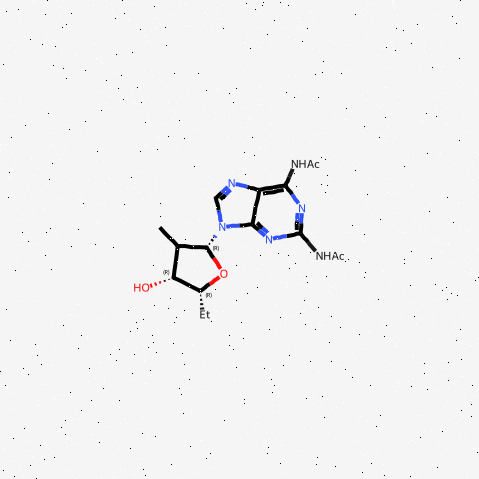 CC[C@H]1O[C@@H](n2cnc3c(NC(C)=O)nc(NC(C)=O)nc32)C(C)[C@H]1O